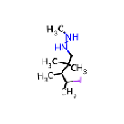 CNNCC(C)(C)C(C)C(C)I